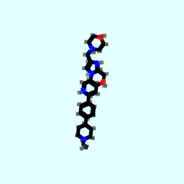 CC(C)N1CCC(c2ccc(-c3cc4c(cn3)-n3cc(CN5CCOCC5)nc3CO4)cc2)CC1